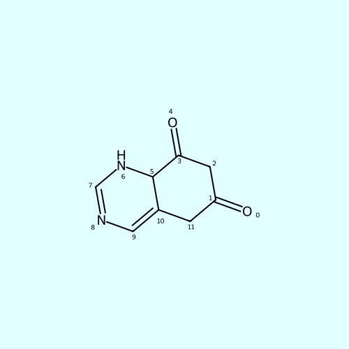 O=C1CC(=O)C2NC=NC=C2C1